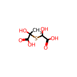 CC(O)(SC(O)C(=O)O)C(=O)O